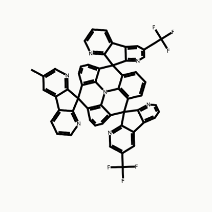 Cc1cnc2c(c1)-c1cccnc1C21c2cccc3c2N2c4c1cccc4C1(c4cccc(c42)C32c3ncccc3-c3cc(C(F)(F)F)cnc32)c2ncccc2-c2cc(C(F)(F)F)cnc21